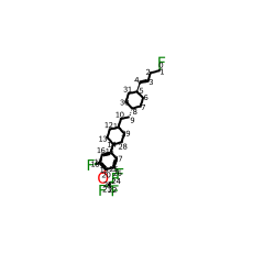 FCC/C=C/[C@H]1CC[C@H](CCC2CCC(c3cc(F)c(OC(F)(F)F)c(F)c3)CC2)CC1